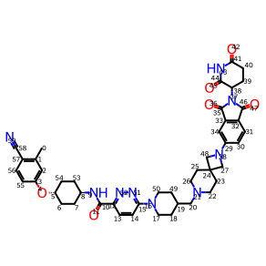 Cc1cc(O[C@H]2CC[C@H](NC(=O)c3ccc(N4CCC(CN5CCC6(CC5)CN(c5ccc7c(c5)C(=O)N(C5CCC(=O)NC5=O)C7=O)C6)CC4)nn3)CC2)ccc1C#N